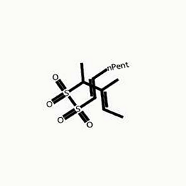 CC=C(C)C(C)S(=O)(=O)S(=O)(=O)C=CCCCCC